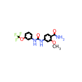 COc1cc(NC(=O)Nc2cccc(OC(F)(F)F)c2)ccc1C(N)=O